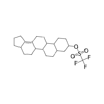 O=S(=O)(OC1CCC2C(CCC3C4CCC5CCCC5=C4CCC23)C1)C(F)(F)F